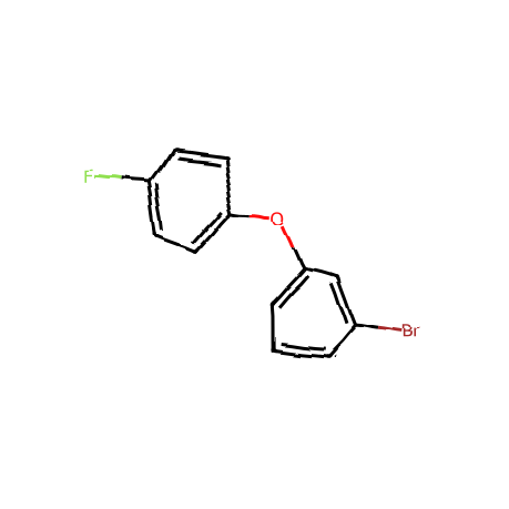 Fc1ccc(Oc2cc[c]c(Br)c2)cc1